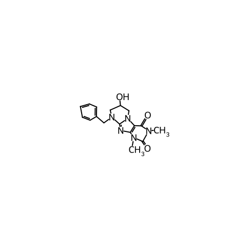 Cn1c(=O)c2c(nc3n2CC(O)CN3Cc2ccccc2)n(C)c1=O